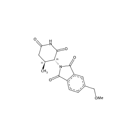 COCc1ccc2c(c1)C(=O)N([C@H]1C(=O)NC(=O)C[C@@H]1C)C2=O